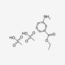 CCOC(=O)c1cccc(N)c1.CS(=O)(=O)O.CS(=O)(=O)O